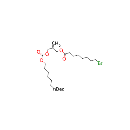 C=C(COC(=O)CCCCCCCBr)COC(=O)OCCCCCCCCCCCCCCCC